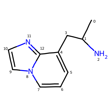 CC(N)Cc1cccn2ccnc12